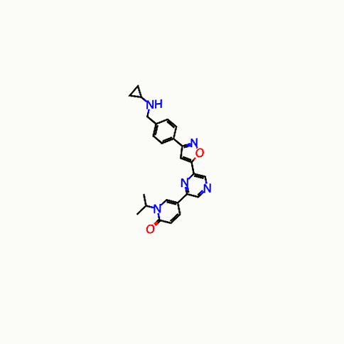 CC(C)n1cc(-c2cncc(-c3cc(-c4ccc(CNC5CC5)cc4)no3)n2)ccc1=O